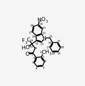 Cc1ccccc1C(=O)CC(O)(c1cn(Cc2ccccc2)c2cc([N+](=O)[O-])ccc12)C(F)(F)F